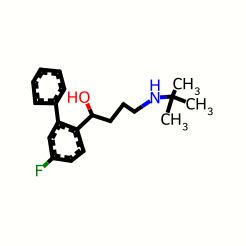 CC(C)(C)NCCCC(O)c1ccc(F)cc1-c1ccccc1